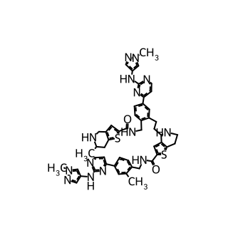 Cc1cc(-c2ccnc(Nc3cnn(C)c3)n2)ccc1CNC(=O)c1cc2c(s1)CCNC2CCc1cc(-c2ccnc(Nc3cnn(C)c3)n2)ccc1CNC(=O)c1cc2c(s1)CC(C)NC2